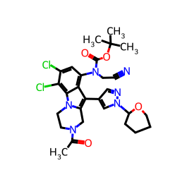 CC(=O)N1CCn2c(c(-c3cnn(C4CCCCO4)c3)c3c(N(CC#N)C(=O)OC(C)(C)C)cc(Cl)c(Cl)c32)C1